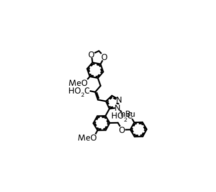 CCCCn1ncc(/C=C(\Cc2cc3c(cc2OC)OCO3)C(=O)O)c1-c1ccc(OC)cc1COc1ccccc1C(=O)O